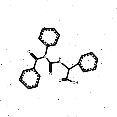 O=C(O)C(NC(=O)N(C(=O)c1ccccc1)c1ccccc1)c1ccccc1